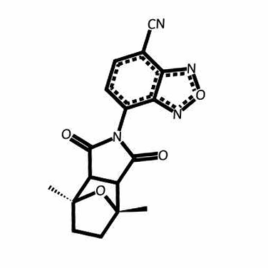 C[C@@]12CC[C@](C)(O1)C1C(=O)N(c3ccc(C#N)c4nonc34)C(=O)C12